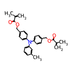 C=C(C)C(=O)OCc1ccc(N(c2ccc(COC(=O)C(=C)C)cc2)c2cccc(C)c2)cc1